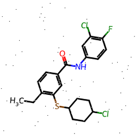 CCc1ccc(C(=O)Nc2ccc(F)c(Cl)c2)cc1SC1CCC(Cl)CC1